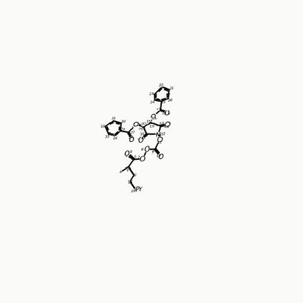 CC(C)CCC(C)C(=O)OOC(=O)ON1C(=O)[C@@H](OC(=O)c2ccccc2)[C@H](OC(=O)c2ccccc2)C1=O